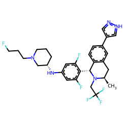 C[C@@H]1Cc2cc(-c3cn[nH]c3)ccc2[C@@H](c2c(F)cc(N[C@H]3CCCN(CCCF)C3)cc2F)N1CC(F)(F)F